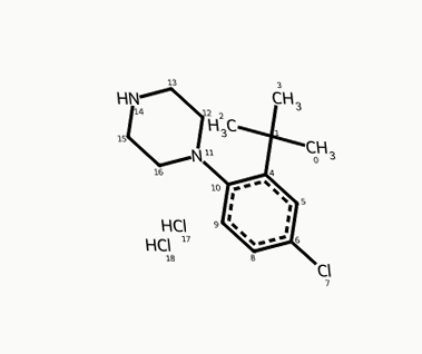 CC(C)(C)c1cc(Cl)ccc1N1CCNCC1.Cl.Cl